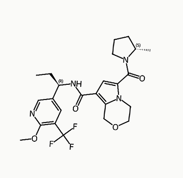 CC[C@@H](NC(=O)c1cc(C(=O)N2CCC[C@@H]2C)n2c1COCC2)c1cnc(OC)c(C(F)(F)F)c1